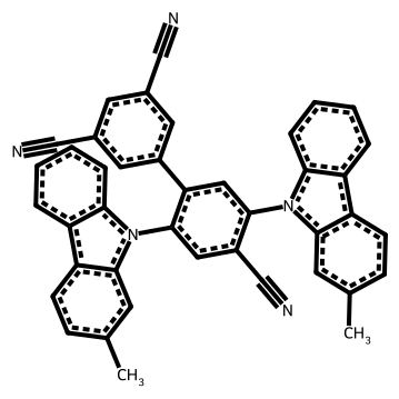 Cc1ccc2c3ccccc3n(-c3cc(-c4cc(C#N)cc(C#N)c4)c(-n4c5ccccc5c5ccc(C)cc54)cc3C#N)c2c1